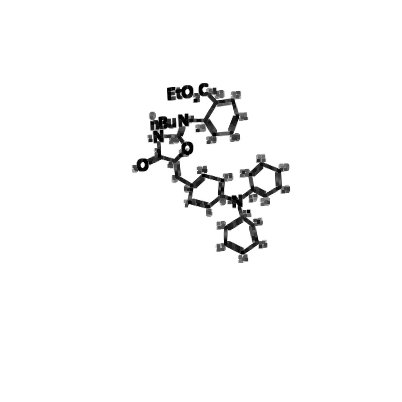 CCCCN1C(=O)C(=Cc2ccc(N(c3ccccc3)c3ccccc3)cc2)OC1=Nc1ccccc1C(=O)OCC